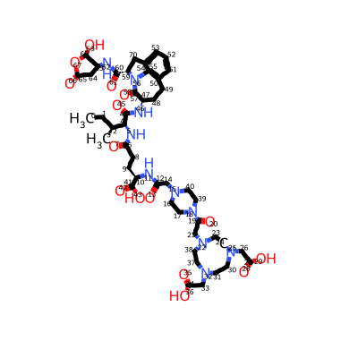 CC[C@H](C)[C@H](NC(=O)CC[C@@H](NC(=O)CN1CCN(C(=O)CN2CCN(CC(=O)O)CCN(CC(=O)O)CC2)CC1)C(=O)O)C(=O)N[C@H]1CCc2cccc3c2N(C1=O)[C@H](C(=O)NC1CC(=O)OC1O)C3